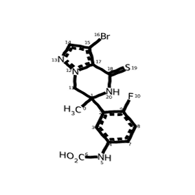 CC1(c2cc(NC(=O)O)ccc2F)Cn2ncc(Br)c2C(=S)N1